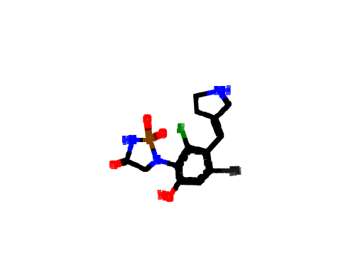 CCc1cc(O)c(N2CC(=O)NS2(=O)=O)c(F)c1/C=C1\CCNC1